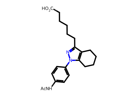 CC(=O)Nc1ccc(-n2nc(CCCCCC(=O)O)c3c2CCCC3)cc1